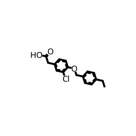 CCc1ccc(COc2ccc(CC(=O)O)cc2Cl)cc1